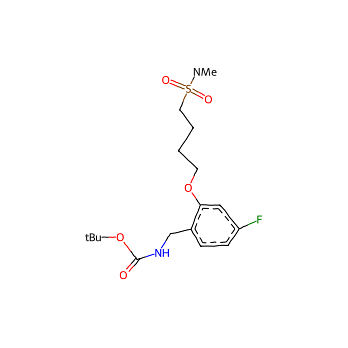 CNS(=O)(=O)CCCCOc1cc(F)ccc1CNC(=O)OC(C)(C)C